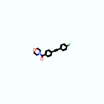 O=C(c1ccc(C#Cc2ccc(F)cc2)cc1)N1CCOCC1